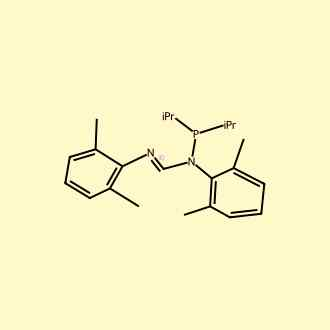 Cc1cccc(C)c1/N=C/N(c1c(C)cccc1C)P(C(C)C)C(C)C